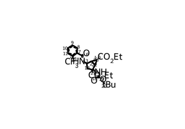 CCOC(=O)[C@H]1C2C(NC(=O)c3ccccc3C(F)(F)F)CC(NC(=O)OC(C)(C)C)(C(=O)OCC)C21